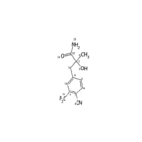 CC(O)(Cc1ccc(C#N)c(C(F)(F)F)c1)C(N)=O